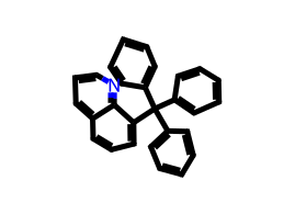 c1ccc(C(c2ccccc2)(c2ccccc2)c2cccc3cccnc23)cc1